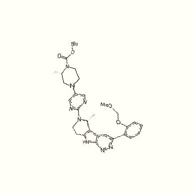 COCOc1ccccc1-c1cc2c3c([nH]c2nn1)CCN(c1ncc(N2CCN(C(=O)OC(C)(C)C)[C@@H](C)C2)cn1)[C@@H]3C